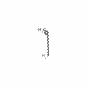 [CH2]c1ccc(CCCCCCCCCCCCCC)cc1